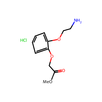 COC(=O)COc1ccccc1OCCN.Cl